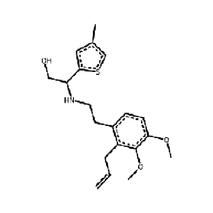 C=CCc1c(CCNC(CO)c2cc(C)cs2)ccc(OC)c1OC